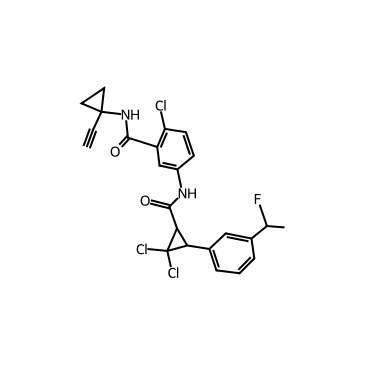 C#CC1(NC(=O)c2cc(NC(=O)C3C(c4cccc(C(C)F)c4)C3(Cl)Cl)ccc2Cl)CC1